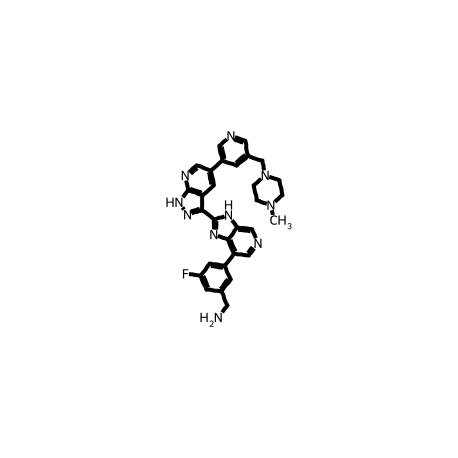 CN1CCN(Cc2cncc(-c3cnc4[nH]nc(-c5nc6c(-c7cc(F)cc(CN)c7)cncc6[nH]5)c4c3)c2)CC1